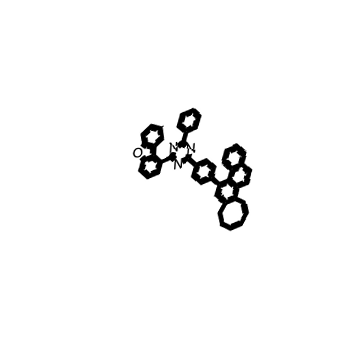 C1=C\CCc2cc(-c3ccc(-c4nc(-c5ccccc5)nc(-c5cccc6oc7ccccc7c56)n4)cc3)c3c(ccc4ccccc43)c2\C=C/1